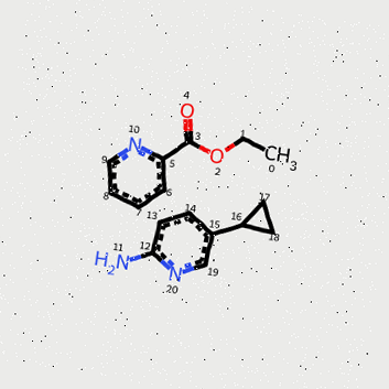 CCOC(=O)c1ccccn1.Nc1ccc(C2CC2)cn1